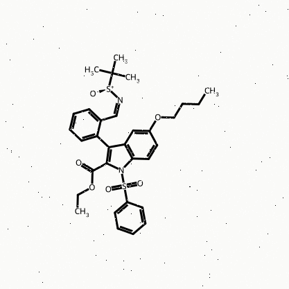 CCCCOc1ccc2c(c1)c(-c1ccccc1/C=N\[S@@+]([O-])C(C)(C)C)c(C(=O)OCC)n2S(=O)(=O)c1ccccc1